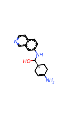 NC1=CC[C@@H](C(O)Nc2ccc3ccncc3c2)CC1